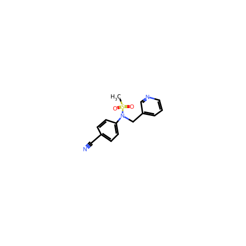 CS(=O)(=O)N(Cc1cccnc1)c1ccc(C#N)cc1